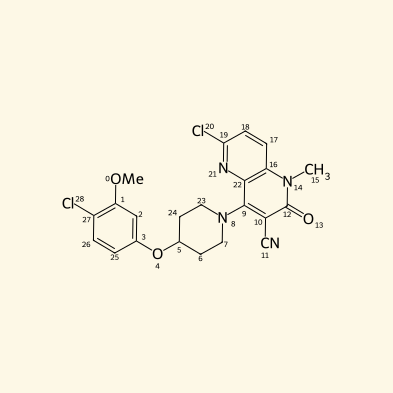 COc1cc(OC2CCN(c3c(C#N)c(=O)n(C)c4ccc(Cl)nc34)CC2)ccc1Cl